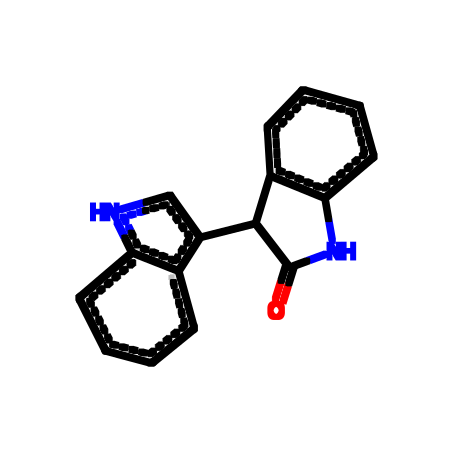 O=C1Nc2ccccc2C1c1c[nH]c2ccccc12